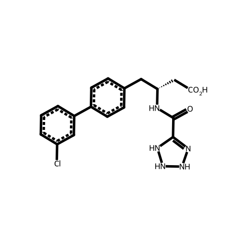 O=C(O)C[C@@H](Cc1ccc(-c2cccc(Cl)c2)cc1)NC(=O)C1=NNNN1